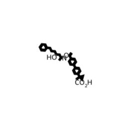 C=C(O/N=C(/C)CC(O)CCCc1ccccc1)c1ccc(-c2ccc(C3(CC(=O)O)CC3)cc2)cc1